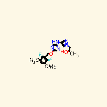 COc1cc(C)c(F)c(COc2cnc(Nc3cnn(C[C@H](C)O)c3)cn2)c1F